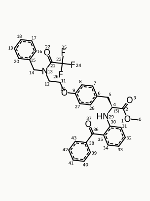 COC(=O)[C@H](Cc1ccc(OCCN(Cc2ccccc2)C(=O)C(F)(F)F)cc1)Nc1ccccc1C(=O)c1ccccc1